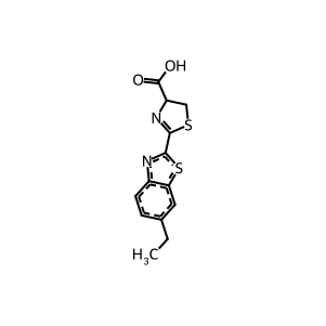 CCc1ccc2nc(C3=NC(C(=O)O)CS3)sc2c1